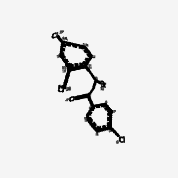 O=C(c1ccc(Cl)cc1)C(Br)c1ccc(Cl)cc1Cl